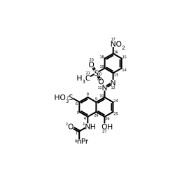 CCCC(=O)Nc1cc(S(=O)(=O)O)cc2c(N=Nc3ccc([N+](=O)[O-])cc3S(C)(=O)=O)ccc(O)c12